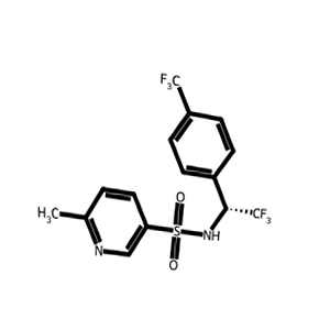 Cc1ccc(S(=O)(=O)N[C@H](c2ccc(C(F)(F)F)cc2)C(F)(F)F)cn1